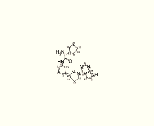 NC(C(=O)Nc1cccc(C2CCCN(c3ncnc4[nH]ccc34)C2)c1)c1ccccc1